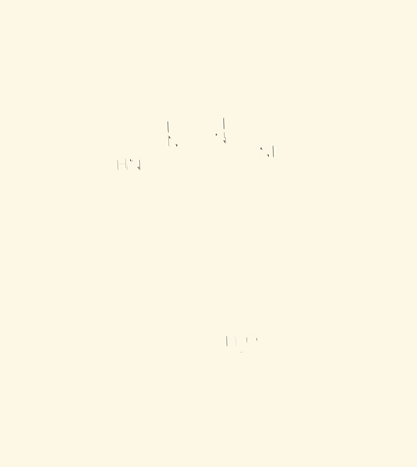 C1CCCCNNNNCCC1.O